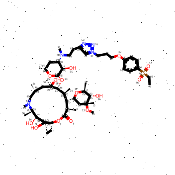 CC[C@H]1OC(=O)[C@H](C)[C@@H](C2C[C@@](C)(OC)[C@@H](O)[C@H](C)O2)[C@H](C)[C@@H](O[C@@H]2O[C@H](C)C[C@H](N(C)CCc3cn(CCCOc4ccc(S(=O)(=O)CC)cc4)nn3)[C@H]2O)[C@](C)(O)C[C@@H](C)CN(C)[C@H](C)[C@@H](O)[C@]1(C)O